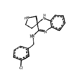 Clc1cccc(CNC2=Nc3ccccc3NC23CCNC3)c1